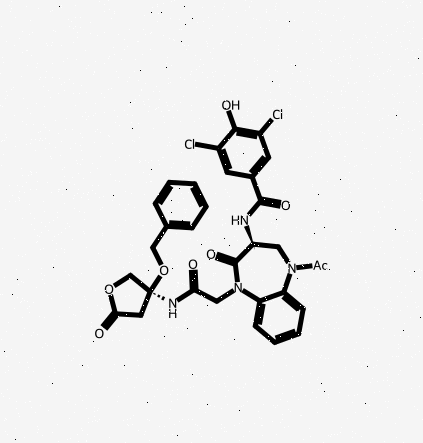 CC(=O)N1C[C@H](NC(=O)c2cc(Cl)c(O)c(Cl)c2)C(=O)N(CC(=O)N[C@@]2(OCc3ccccc3)COC(=O)C2)c2ccccc21